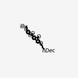 CCCCCCCCCCCCCCOc1ccc2c(c1)C(=O)c1cc(C(=O)Oc3ccc(OCC(C)CC)cc3)ccc1-2